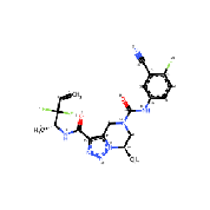 C=CC(F)(F)[C@@H](C)NC(=O)c1nnn2c1CN(C(=O)Nc1ccc(F)c(C#N)c1)C[C@H]2C